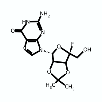 CC1(C)OC2C(O1)[C@@](F)(CO)O[C@H]2n1cnc2c(=O)[nH]c(N)nc21